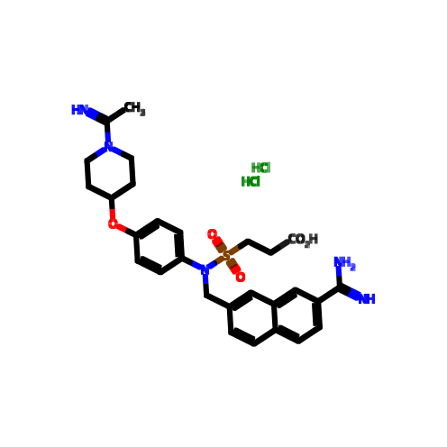 CC(=N)N1CCC(Oc2ccc(N(Cc3ccc4ccc(C(=N)N)cc4c3)S(=O)(=O)CCC(=O)O)cc2)CC1.Cl.Cl